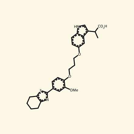 COc1cc(-c2nc3c(s2)CCCC3)ccc1OCCCOc1ccc2[nH]cc(C(C)C(=O)O)c2c1